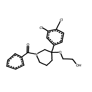 O=C(c1ccccc1)N1CCCC(OCCO)(c2ccc(Cl)c(Cl)c2)C1